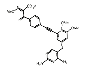 CO/N=C(/C(=O)O)C(=O)c1ccc(C#Cc2cc(Cc3cnc(N)nc3N)cc(OC)c2OC)cc1